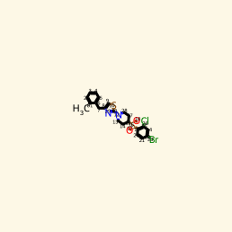 Cc1ccccc1Cc1csc(N2CCC(S(=O)(=O)c3ccc(Br)cc3Cl)CC2)n1